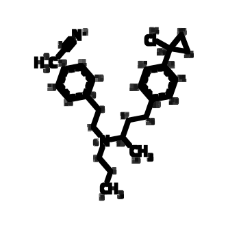 CC#N.CCCN(CCc1ccccc1)C(C)CCc1ccc(C2(Cl)CC2)cc1